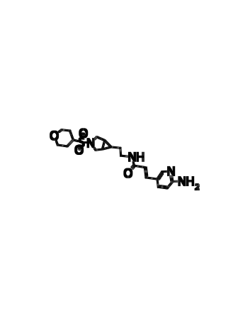 Nc1ccc(/C=C/C(=O)NCCC2C3CN(S(=O)(=O)C4CCOCC4)CC23)cn1